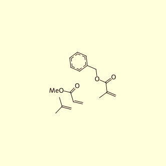 C=C(C)C.C=C(C)C(=O)OCc1ccccc1.C=CC(=O)OC